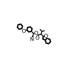 CC(C)C(C(=O)OC(C#N)c1cccc(Oc2ccccc2)c1)c1cc2ccccc2o1